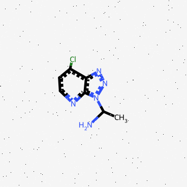 CC(N)n1nnc2c(Cl)ccnc21